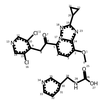 COc1ccc(C(=O)Cc2c(Cl)cncc2Cl)n2nc(C3CC3)nc12.O=C(O)NCc1cccnc1